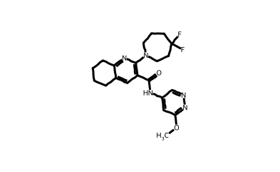 COc1cc(NC(=O)c2cc3c(nc2N2CCCC(F)(F)CC2)CCCC3)cnn1